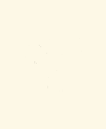 Cc1ccccc1-c1cc(B(O)O)cn2ccnc12